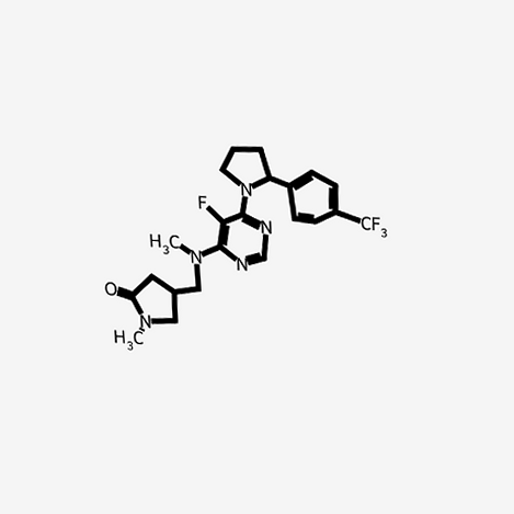 CN1CC(CN(C)c2ncnc(N3CCCC3c3ccc(C(F)(F)F)cc3)c2F)CC1=O